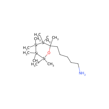 CC1(CCCCCN)O[Si](C)(C)[Si](C)(C)[Si](C)(C)[Si]1(C)C